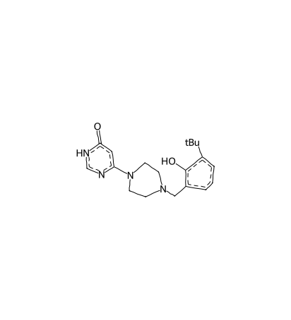 CC(C)(C)c1cccc(CN2CCN(c3cc(=O)[nH]cn3)CC2)c1O